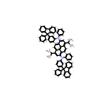 CC(C)c1cc(N(c2ccccc2)c2cccc(C3(c4ccccc4)c4ccccc4-c4ccccc43)c2)c2ccc3c(C(C)C)cc(N(c4ccccc4)c4cccc(C5(c6ccccc6)c6ccccc6-c6ccccc65)c4)c4ccc1c2c34